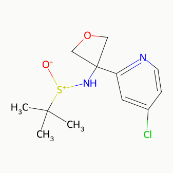 CC(C)(C)[S+]([O-])NC1(c2cc(Cl)ccn2)COC1